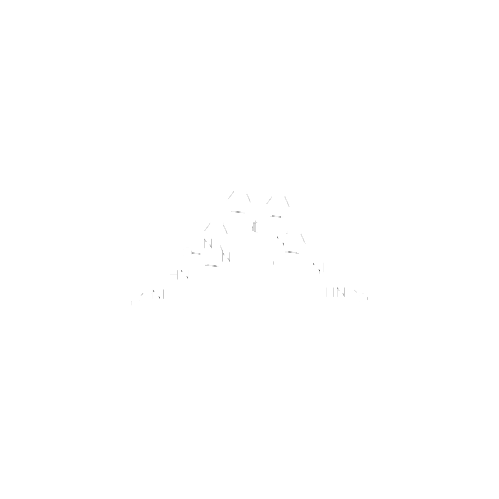 COc1nc(-c2cccc(-c3cccc(-c4ccn5c(=O)c(CNCC6CCCC(=O)N6)cnc5c4)c3Cl)c2Cl)ccc1CNCC1CCC(=O)N1